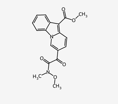 COC(=O)c1c2ccccc2n2cc(C(=O)C(=O)N(C)OC)ccc12